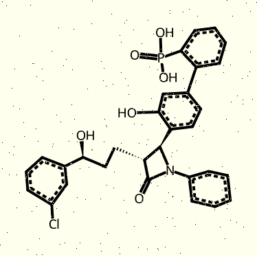 O=C1[C@H](CC[C@H](O)c2cccc(Cl)c2)[C@@H](c2ccc(-c3ccccc3P(=O)(O)O)cc2O)N1c1ccccc1